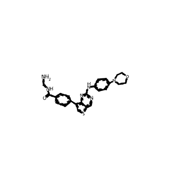 NCNC(=O)c1ccc(-c2csc3cnc(Nc4ccc(N5CCOCC5)cc4)nc23)cc1